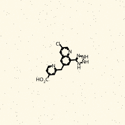 O=C(O)c1ccnc(Cc2cc(C3=NNNN3)c3ncc(Cl)cc3c2)c1